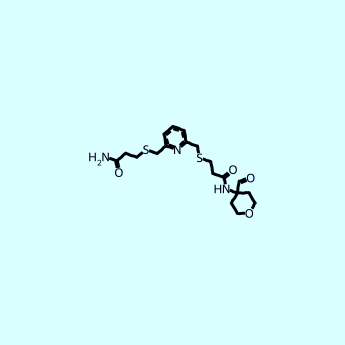 NC(=O)CCSCc1cccc(CSCCC(=O)NC2(C=O)CCOCC2)n1